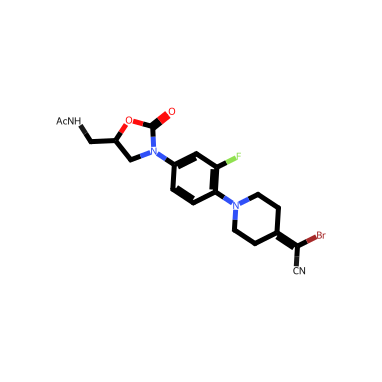 CC(=O)NCC1CN(c2ccc(N3CCC(=C(Br)C#N)CC3)c(F)c2)C(=O)O1